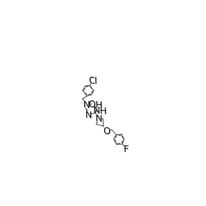 N=C(/N=C\N(O)Cc1ccc(Cl)cc1)N1CC(OCc2ccc(F)cc2)C1